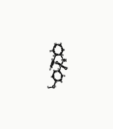 COc1ccc(S(=O)(=O)Nc2ccccc2C#N)cc1